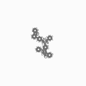 c1ccc(-c2nc(-c3ccc(-c4cccc5c4oc4ccccc45)cc3)nc(-c3ccc4c(c3)n(-c3ccccc3)c3nc5oc6ccccc6c5n43)n2)cc1